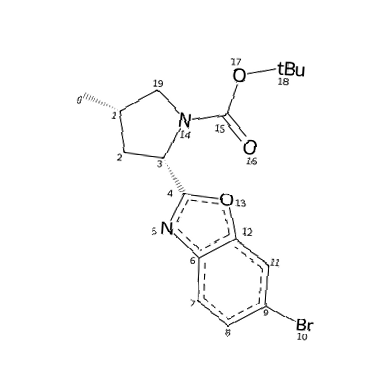 C[C@H]1C[C@@H](c2nc3ccc(Br)cc3o2)N(C(=O)OC(C)(C)C)C1